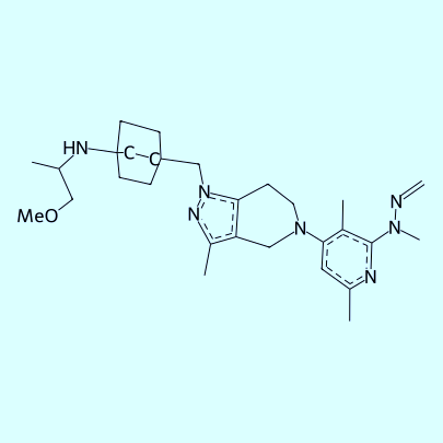 C=NN(C)c1nc(C)cc(N2CCc3c(c(C)nn3CC34CCC(NC(C)COC)(CC3)CC4)C2)c1C